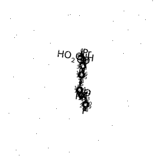 CC(C)C(NS(=O)(=O)N1CCN(c2ccc(C#Cc3ccc4ncn(Cc5ccc(F)cc5)c(=O)c4c3)cc2)CC1)C(=O)O